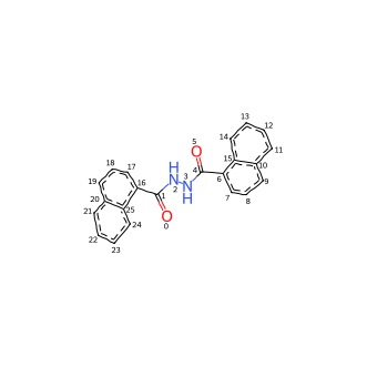 O=C(NNC(=O)c1cccc2ccccc12)c1cccc2ccccc12